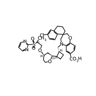 C[C@@H](CO[C@@H]1CCO[C@H]([C@@H]2CC[C@H]2CN2CC3(CCCc4cc(Cl)ccc43)COc3ccc(C(=O)O)cc32)C1)S(=O)(=O)c1ncccn1